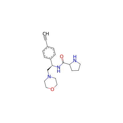 C#Cc1ccc([C@H](CN2CCOCC2)NC(=O)C2CCCN2)cc1